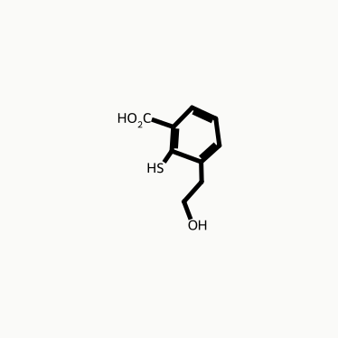 O=C(O)c1cccc(CCO)c1S